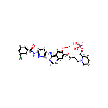 COc1cc2c(Nc3ccc(NC(=O)c4cccc(Cl)c4)nc3)ncnc2cc1OCCCN1CCCCC1COP(=O)(O)O